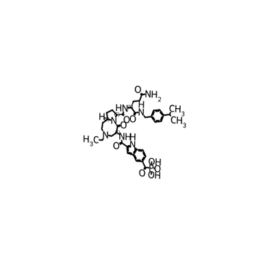 CCN1CC[C@H]2CC[C@@H](C(=O)N[C@@H](CCC(N)=O)C(=O)NCc3ccc(C(C)C)cc3)N2C(=O)[C@@H](NC(=O)c2cc3cc(C(=O)P(=O)(O)O)ccc3[nH]2)C1